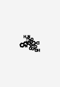 NCC(=O)NC12SCC(Cl)=C(OC(=O)O)N1C(=O)C2c1ccc2ccccc2n1